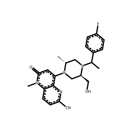 CC(c1ccc(F)cc1)N1C[C@@H](C)N(c2cc(=O)n(C)c3ccc(C#N)nc23)C[C@@H]1CO